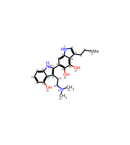 CNCCc1c[nH]c2cc(-c3[nH]c4cccc(O)c4c3CCN(C)C)c(O)c(O)c12